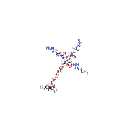 CCCCCNC(=O)CCC(CCC(=O)NCCCCN=[N+]=[N-])(CCC(=O)NCCCCN=[N+]=[N-])NC(=O)CCOCCOCCOCCC(=O)OC(C)(C)C